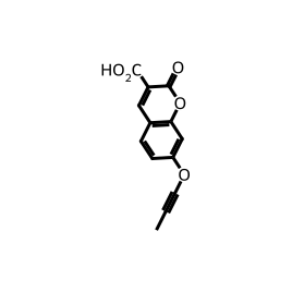 CC#COc1ccc2cc(C(=O)O)c(=O)oc2c1